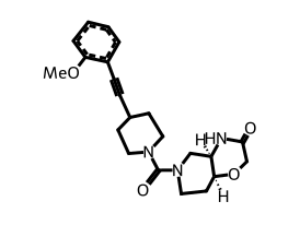 COc1ccccc1C#CC1CCN(C(=O)N2CC[C@@H]3OCC(=O)N[C@@H]3C2)CC1